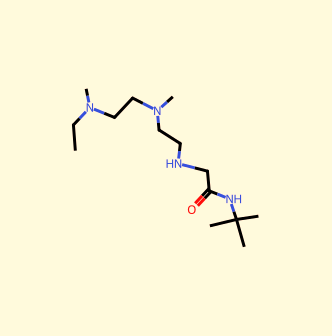 CCN(C)CCN(C)CCNCC(=O)NC(C)(C)C